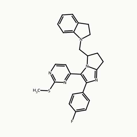 CSc1nccc(-c2c(-c3ccc(F)cc3)nc3n2C(CN2CCc4ccccc42)CC3)n1